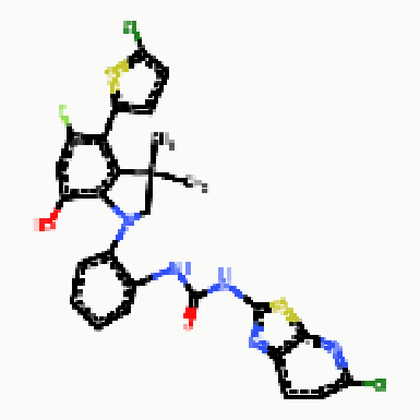 CC1(C)CN(c2ccccc2NC(=O)Nc2nc3ccc(Cl)nc3s2)c2c(O)cc(F)c(-c3ccc(Cl)s3)c21